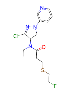 CCN(C(=O)CCSCCF)C1CN(c2cccnc2)N=C1Cl